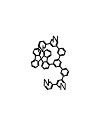 c1cncc(-c2cncc(-c3cccc(-c4cc(-c5cccc(-c6cncc(-c7cccnc7)c6)c5)cc(-c5cccc6c5-c5ccccc5C65c6ccccc6-c6ccccc65)c4)c3)c2)c1